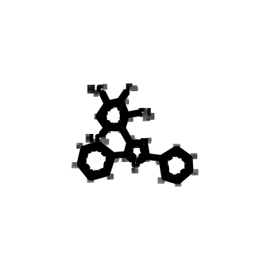 Cc1cc(C)c(-c2nc(-c3ccccc3)oc2-c2ccccc2)c(C)c1F